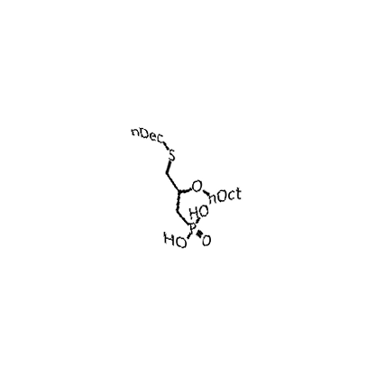 CCCCCCCCCCSCC(CP(=O)(O)O)OCCCCCCCC